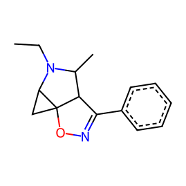 CCN1C(C)C2C(c3ccccc3)=NOC23CC13